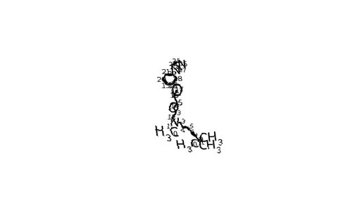 CCN(C/C=C/C#CC(C)(C)C)CCOCCOc1cccc(-n2ccnc2)c1